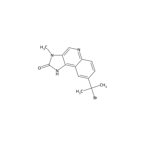 Cn1c(=O)[nH]c2c3cc(C(C)(C)Br)ccc3ncc21